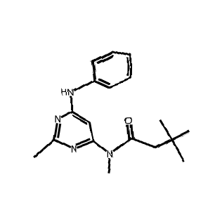 Cc1nc(Nc2ccccc2)cc(N(C)C(=O)CC(C)(C)C)n1